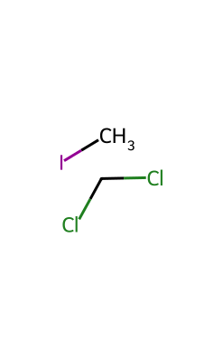 CI.ClCCl